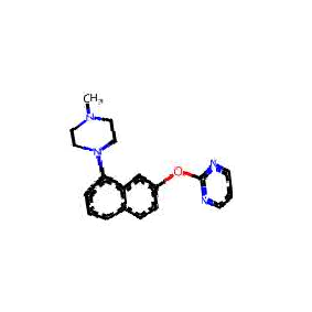 CN1CCN(c2cccc3ccc(Oc4ncccn4)cc23)CC1